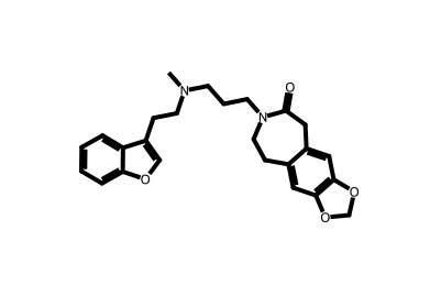 CN(CCCN1CCc2cc3c(cc2CC1=O)OCO3)CCc1coc2ccccc12